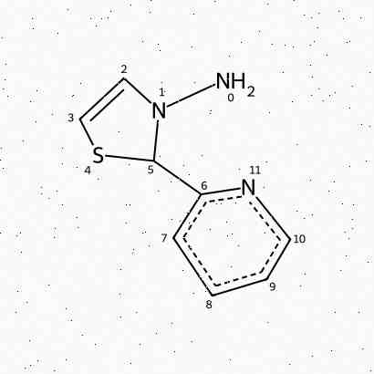 NN1C=CSC1c1ccccn1